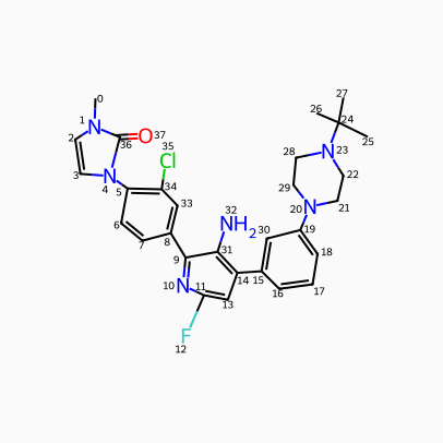 Cn1ccn(-c2ccc(-c3nc(F)cc(-c4cccc(N5CCN(C(C)(C)C)CC5)c4)c3N)cc2Cl)c1=O